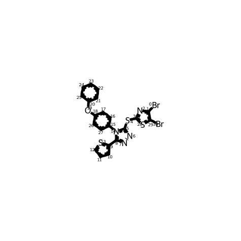 Brc1nc(Sc2nnc(-c3cccs3)n2-c2ccc(Oc3ccccc3)cc2)sc1Br